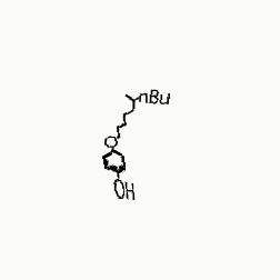 CCCC[C@H](C)CCCCCOc1ccc(O)cc1